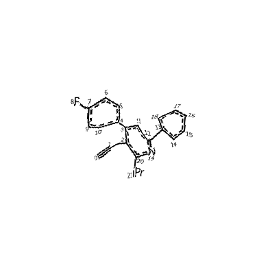 C#Cc1c(-c2ccc(F)cc2)cc(-c2ccccc2)nc1C(C)C